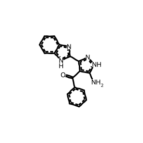 Nc1[nH]nc(-c2nc3ccccc3[nH]2)c1C(=O)c1ccccc1